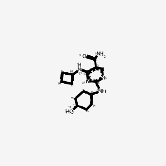 NC(=O)c1cnc(NC2CCC(O)CC2)nc1NC1CCC1